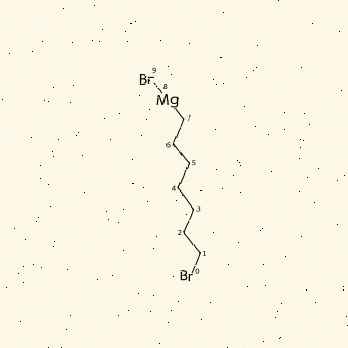 BrCCCCCC[CH2][Mg][Br]